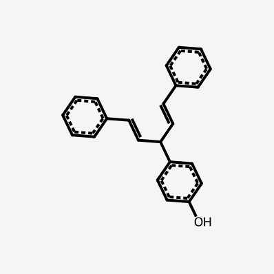 Oc1ccc(C(C=Cc2ccccc2)C=Cc2ccccc2)cc1